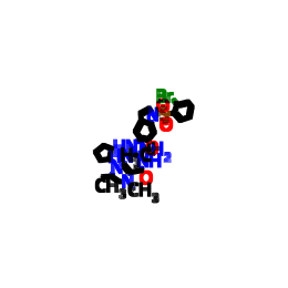 CCC1CN(C)C2=C(N[C@@](N)(Nc3cc4ccn(S(=O)(=O)c5ccccc5Br)c4cc3OC)NC2=O)N1C1CCCC1